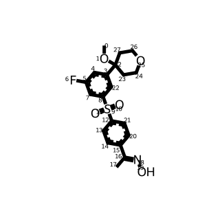 COC1(c2cc(F)cc(S(=O)(=O)c3ccc(C(C)=NO)cc3)c2)CCOCC1